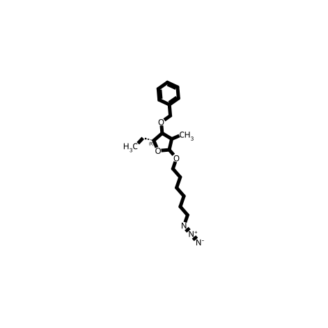 CC[C@H]1OC(OCCCCCCN=[N+]=[N-])C(C)C1OCc1ccccc1